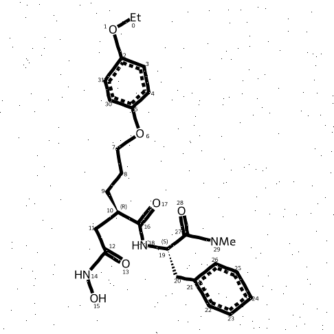 CCOc1ccc(OCCC[C@H](CC(=O)NO)C(=O)N[C@@H](Cc2ccccc2)C(=O)NC)cc1